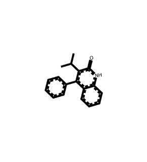 CC(C)c1c(-c2ccccc2)c2ccccc2[nH]c1=O